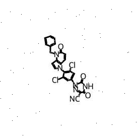 N#Cc1nn(-c2cc(Cl)c(-n3ccc4c3ccc(=O)n4Cc3ccccc3)c(Cl)c2)c(=O)[nH]c1=O